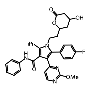 COc1nccc(-c2c(C(=O)Nc3ccccc3)c(C(C)C)n(CCC3CC(O)CC(=O)O3)c2-c2ccc(F)cc2)n1